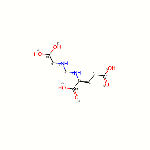 O=C(O)CC[C@H](NCNCC(O)O)C(=O)O